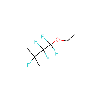 CCOC(F)(F)C(F)(F)C(C)(C)F